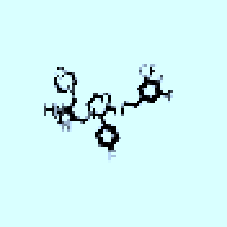 Fc1ccc(C2C(OCCc3cc(F)cc(C(F)(F)F)c3)OCCN2Cc2nn[nH]c2CN2CCOCC2)cc1